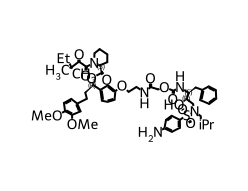 CCC(C)(C)C(=O)C(=O)N1CCCC[C@H]1C(=O)O[C@H](CCc1ccc(OC)c(OC)c1)c1cccc(OCCNC(=O)COC(=O)N[C@@H](Cc2ccccc2)[C@H](O)CN(CC(C)C)S(=O)(=O)c2ccc(N)cc2)c1